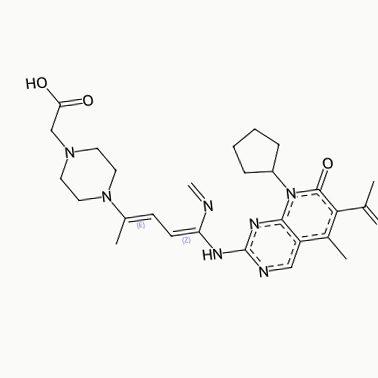 C=N/C(=C\C=C(/C)N1CCN(CC(=O)O)CC1)Nc1ncc2c(C)c(C(C)=O)c(=O)n(C3CCCC3)c2n1